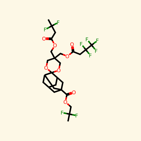 CC(F)(F)COC(=O)C12CC3CC(C1)C1(OCC(COC(=O)CC(C)(F)F)(COC(=O)CC(F)(F)C(F)(F)F)CO1)C(C3)C2